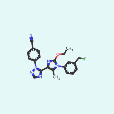 CCOc1nc(-c2ncnn2-c2ccc(C#N)cc2)c(C)n1-c1cccc(CF)c1